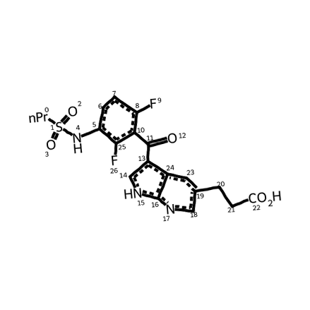 CCCS(=O)(=O)Nc1ccc(F)c(C(=O)c2c[nH]c3ncc(CCC(=O)O)cc23)c1F